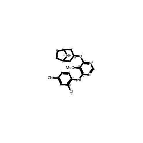 [C-]#[N+]c1ccc(Nc2ncnc(OC3CC4CCC(C3)N4)c2OC)c(Cl)c1